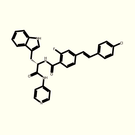 O=C(N[C@@H](Cc1c[nH]c2ccccc12)C(=O)Nc1ccncc1)c1ccc(C=Cc2ccc(Cl)cc2)cc1F